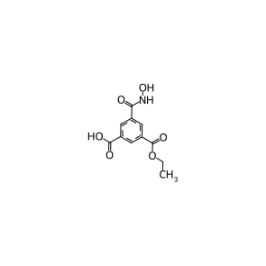 CCOC(=O)c1cc(C(=O)O)cc(C(=O)NO)c1